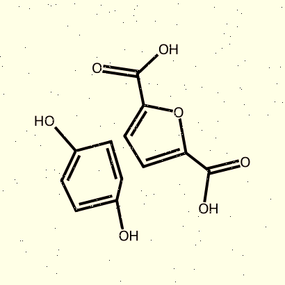 O=C(O)c1ccc(C(=O)O)o1.Oc1ccc(O)cc1